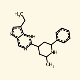 CCc1cnc2cnc(C3CC(C)NC(c4ccccc4)C3)[nH]c1-2